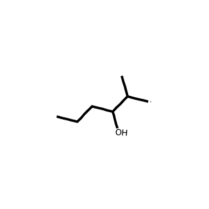 [CH2]C(C)C(O)CCC